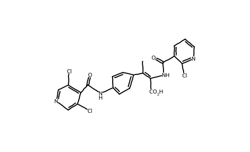 CC(=C(NC(=O)c1cccnc1Cl)C(=O)O)c1ccc(NC(=O)c2c(Cl)cncc2Cl)cc1